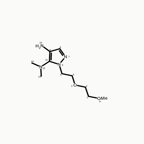 COCCOCCn1ncc(N)c1N(C)C